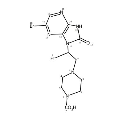 CCC(CN1CCN(C(=O)O)CC1)n1c(=O)[nH]c2ncc(Br)nc21